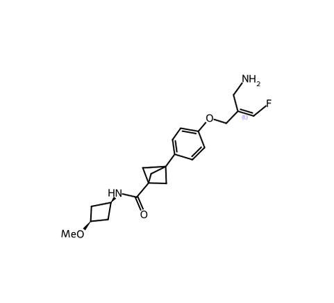 CO[C@H]1C[C@@H](NC(=O)C23CC(c4ccc(OC/C(=C/F)CN)cc4)(C2)C3)C1